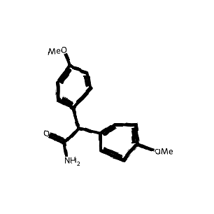 COc1ccc(C(C(N)=O)c2ccc(OC)cc2)cc1